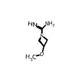 COC1CN(C(=N)N)C1